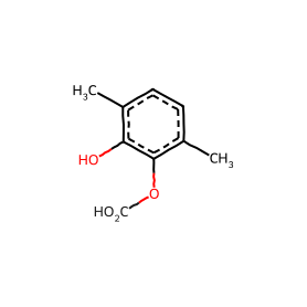 Cc1ccc(C)c(OC(=O)O)c1O